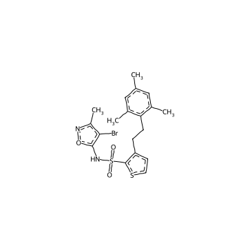 Cc1cc(C)c(CCc2ccsc2S(=O)(=O)Nc2onc(C)c2Br)c(C)c1